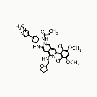 C=CC(=O)N[C@H]1CN(c2cnn(C)c2)C[C@H]1Nc1cc2c(NCC3CCCO3)nc(-c3c(Cl)c(OC)cc(OC)c3Cl)cc2cn1